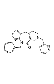 O=C1C2=C(CCN(Cc3ccccn3)C2)Cc2cccnc2N1CC1=CC=CC=CC1